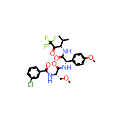 COC[C@H](NC(=O)c1cccc(Cl)c1)C(=O)N[C@H](C(=O)N[C@H](C(=O)C(F)(F)F)C(C)C)c1ccc(OC)cc1